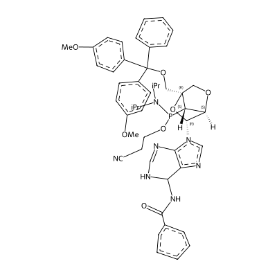 COc1ccc(C(OC[C@@]23CO[C@@H]([C@H](n4cnc5c4N=CNC5NC(=O)c4ccccc4)O2)[C@@H]3P(OCCC#N)N(C(C)C)C(C)C)(c2ccccc2)c2ccc(OC)cc2)cc1